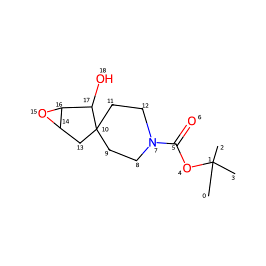 CC(C)(C)OC(=O)N1CCC2(CC1)CC1OC1C2O